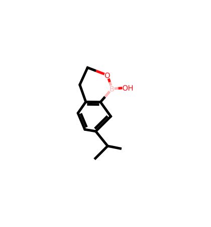 CC(C)c1ccc2c(c1)B(O)OCC2